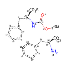 CC(C)(C)OC(=O)N[C@@H](Cc1ccccc1)C(=O)O.N[C@@H](Cc1ccccc1)C(=O)O